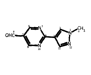 Cn1cc(-c2ncc(C=O)cn2)cn1